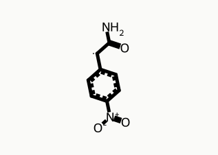 NC(=O)[CH]c1ccc([N+](=O)[O-])cc1